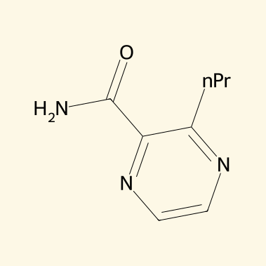 CCCc1nccnc1C(N)=O